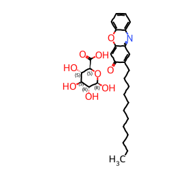 CCCCCCCCCCCCc1cc2nc3ccccc3oc-2cc1=O.O=C(O)[C@H]1O[C@@H](O)[C@H](O)[C@@H](O)[C@@H]1O